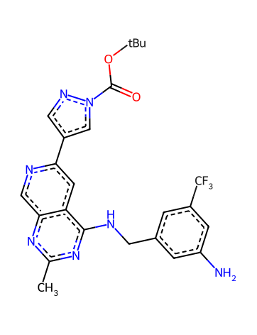 Cc1nc(NCc2cc(N)cc(C(F)(F)F)c2)c2cc(-c3cnn(C(=O)OC(C)(C)C)c3)ncc2n1